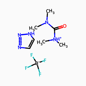 CN(C)C(=O)[NH+](C)C.F[B-](F)(F)F.c1c[nH]nn1